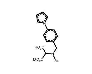 CCOC(=O)C(C(=O)O)N(Cc1ccc(-n2cccc2)cc1)C(C)=O